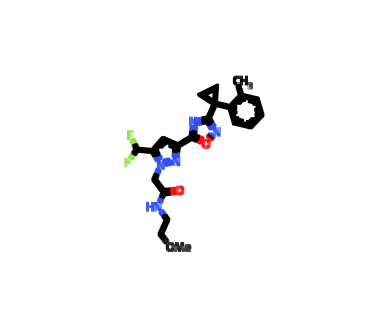 COCCNC(=O)Cn1nc(-c2nc(C3(c4ccccc4C)CC3)no2)cc1C(F)F